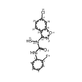 O=C(Nc1ccccc1F)N(S)c1noc2cc(Cl)ccc12